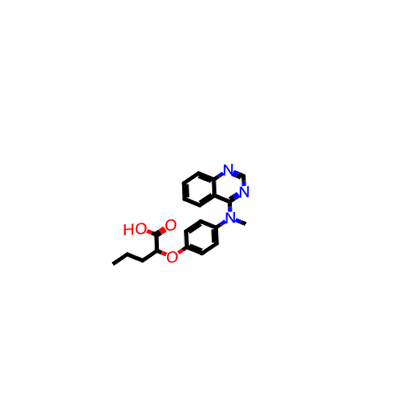 CCCC(Oc1ccc(N(C)c2ncnc3ccccc23)cc1)C(=O)O